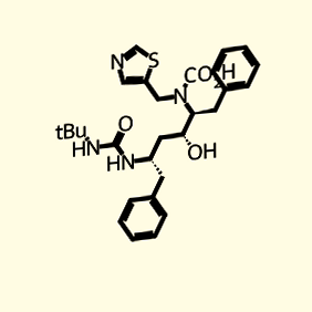 CC(C)(C)NC(=O)N[C@@H](Cc1ccccc1)C[C@@H](O)[C@H](Cc1ccccc1)N(Cc1cncs1)C(=O)O